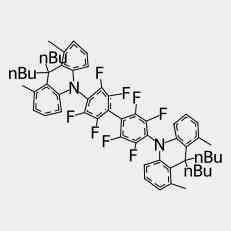 CCCCC1(CCCC)c2c(C)cccc2N(c2c(F)c(F)c(-c3c(F)c(F)c(N4c5cccc(C)c5C(CCCC)(CCCC)c5c(C)cccc54)c(F)c3F)c(F)c2F)c2cccc(C)c21